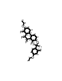 CCOc1ccc(C(F)(F)Oc2ccc3c(c2F)C(F)C(F)c2c-3ccc(OCC)c2F)c(F)c1